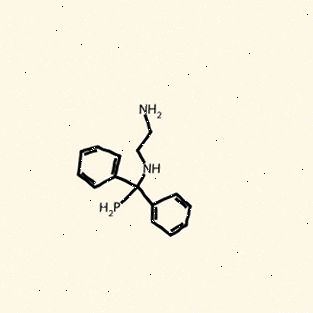 NCCNC(P)(c1ccccc1)c1ccccc1